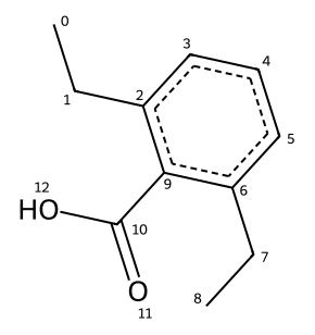 CCc1cccc(CC)c1C(=O)O